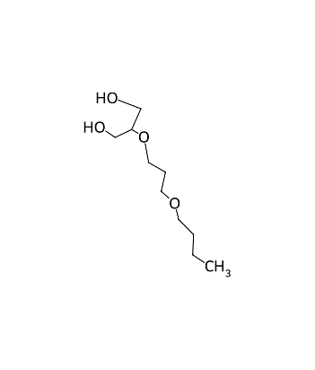 CCCCOCCCOC(CO)CO